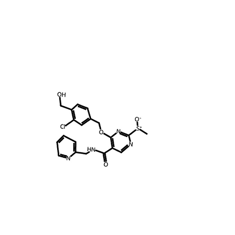 C[S+]([O-])c1ncc(C(=O)NCc2ccccn2)c(OCc2ccc(CO)c(Cl)c2)n1